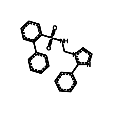 O=S(=O)(NCn1ccnc1-c1ccccc1)c1ccccc1-c1ccccc1